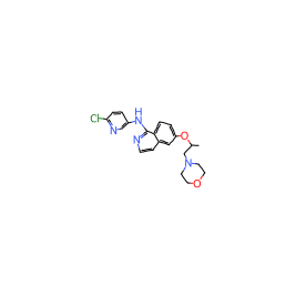 CC(CN1CCOCC1)Oc1ccc2c(Nc3ccc(Cl)nc3)nccc2c1